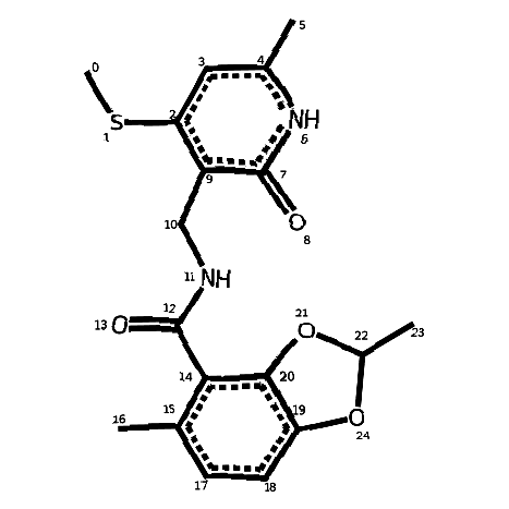 CSc1cc(C)[nH]c(=O)c1CNC(=O)c1c(C)ccc2c1OC(C)O2